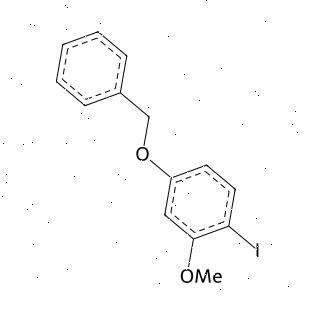 COc1cc(OCc2ccccc2)ccc1I